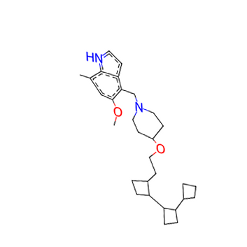 COc1cc(C)c2[nH]ccc2c1CN1CCC(OCCC2CCC2C2CCC2C2CCC2)CC1